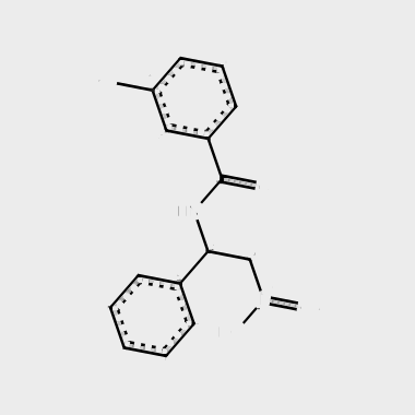 O=C(NC(C[PH](=O)O)c1ccccc1)c1cccc(F)c1